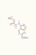 COc1ccc2c(C(C)NC(=O)OC(C)(C)C)noc2c1